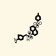 Cc1ccc(S(=O)(=O)Oc2cccc3c(S(=O)(=O)NCc4ccc(N(C)C)cc4)cccc23)cc1